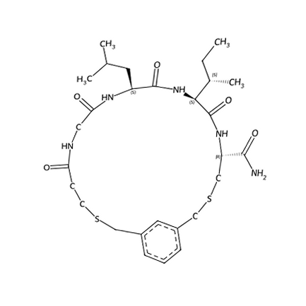 CC[C@H](C)[C@@H]1NC(=O)[C@H](CC(C)C)NC(=O)CNC(=O)CCSCc2cccc(c2)CSC[C@@H](C(N)=O)NC1=O